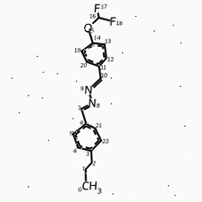 CCCc1ccc(C=NN=Cc2ccc(OC(F)F)cc2)cc1